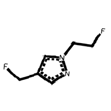 FCCn1[c]c(CF)[c]n1